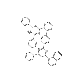 N/C(=N\C(=N/Cc1ccccc1)c1ccccc1-c1ccc(-c2nc(-c3ccccc3)cc(-c3cccc4ccccc34)n2)cc1)c1ccccc1